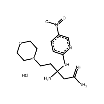 Cl.N=C(N)CC(N)(CCN1CCOCC1)Nc1ccc([N+](=O)[O-])cn1